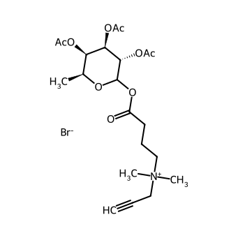 C#CC[N+](C)(C)CCCC(=O)OC1O[C@@H](C)[C@@H](OC(C)=O)[C@@H](OC(C)=O)[C@@H]1OC(C)=O.[Br-]